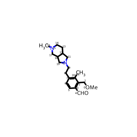 COCc1c(C=O)ccc(CCN2CC3CCN(C)CC3C2)c1C